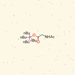 CCCCP(CCCC)(CCCC)(CCCC)OC(=O)CNC(C)=O